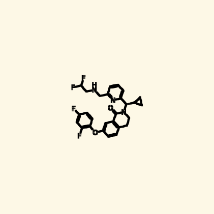 O=C1c2cc(Oc3ccc(F)cc3F)ccc2CCN1[C@@H](c1cccc(CNCC(F)F)n1)C1CC1